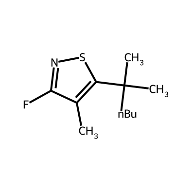 CCCCC(C)(C)c1snc(F)c1C